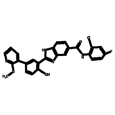 COc1ncccc1-c1ccc(O)c(-c2nc3cc(C(=O)Nc4ccc(F)cc4Cl)ccc3[nH]2)c1